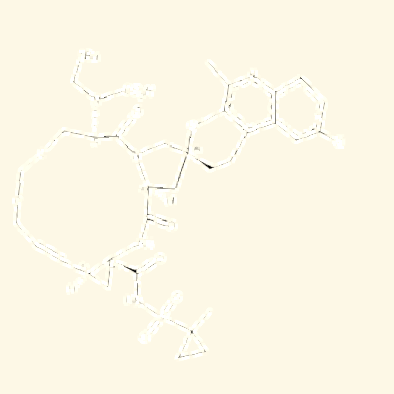 Cc1nc2ccc(Cl)cc2c2c1O[C@]1(CC2)C[C@H]2C(=O)N[C@]3(C(=O)NS(=O)(=O)C4(C)CC4)C[C@H]3C=CCCCCC[C@H](N(CC(C)(C)C)C(=O)O)C(=O)N2C1